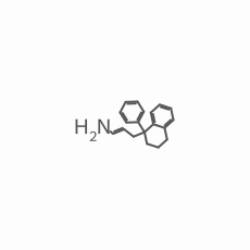 N/C=C/CC1(c2ccccc2)CCCc2ccccc21